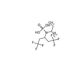 CCC(C)N(C(CC(F)(F)F)CC(F)(F)F)P(=O)(O)O